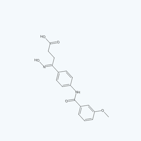 COc1cccc(C(=O)Nc2ccc(C(CCC(=O)O)=NO)cc2)c1